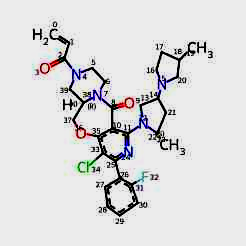 C=CC(=O)N1CCN2C(=O)c3c(N4CC(N5CCC(C)C5)C[C@@H]4C)nc(-c4ccccc4F)c(Cl)c3OC[C@H]2C1